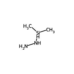 C[SiH](C)NN